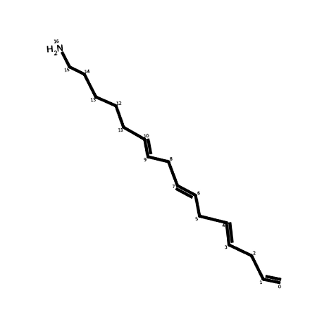 C=CCC=CCC=CCC=CCCCCCN